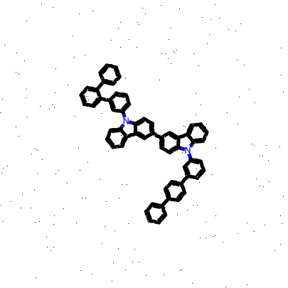 c1ccc(-c2ccc(-c3cccc(-n4c5ccccc5c5cc(-c6ccc7c(c6)c6ccccc6n7-c6cccc(-c7ccccc7-c7ccccc7)c6)ccc54)c3)cc2)cc1